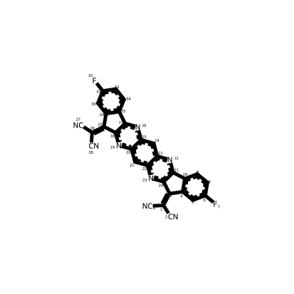 N#CC(C#N)=C1c2cc(F)ccc2-c2nc3cc4nc5c(nc4cc3nc21)C(=C(C#N)C#N)c1cc(F)ccc1-5